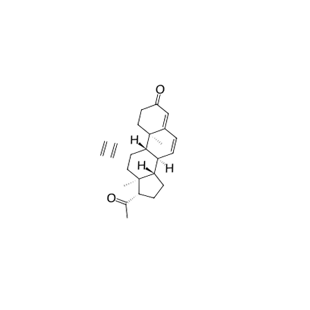 C=C.C=C.CC(=O)[C@H]1CC[C@H]2[C@@H]3C=CC4=CC(=O)CC[C@]4(C)[C@H]3CC[C@]12C